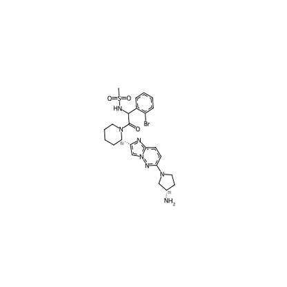 CS(=O)(=O)NC(C(=O)N1CCCC[C@H]1c1cn2nc(N3CC[C@H](N)C3)ccc2n1)c1ccccc1Br